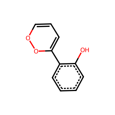 Oc1ccccc1C1=CC=COO1